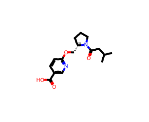 CC(C)CC(=O)N1CCC[C@H]1COc1ccc(C(=O)O)cn1